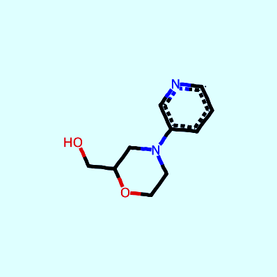 OCC1CN(c2cc[c]nc2)CCO1